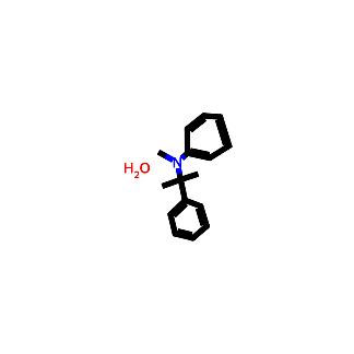 CN(c1ccccc1)C(C)(C)c1ccccc1.O